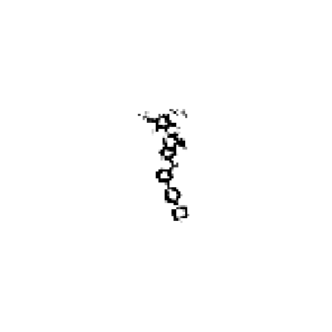 COc1nc(OC)c(F)c(N2Cc3cnc(Nc4cccc(N5CCC(N6CCOCC6)CC5)c4)cc3C3(CC3)C2=O)c1F